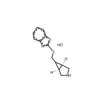 Cl.c1ccc2sc(SCC3[C@H]4CNC[C@@H]34)nc2c1